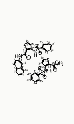 O=C(Nc1ccc2ccccc2c1)c1sccc1NS(=O)(=O)c1ccccc1.O=C(O)c1sccc1NS(=O)(=O)c1ccccc1